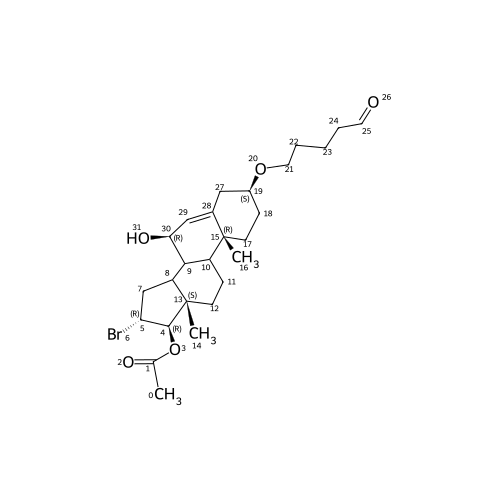 CC(=O)O[C@H]1[C@H](Br)CC2C3C(CC[C@@]21C)[C@@]1(C)CC[C@H](OCCCCC=O)CC1=C[C@@H]3O